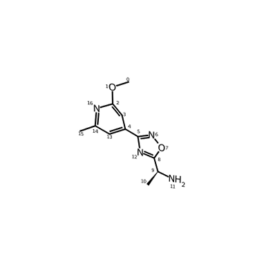 COc1cc(-c2noc([C@H](C)N)n2)cc(C)n1